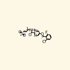 C[C@H](/C=C/S(C)(=O)=O)NC(=O)c1ncc(O[C@@H](C)c2c(F)cccc2Cl)cn1